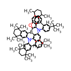 CC(C)(C)c1ccc(N2c3cc(C(C)(C)C)cc4c3B(c3cc5c(cc3N4c3cc4c(cc3-c3ccccc3)C(C)(C)CCC4(C)C)C(C)(C)CCC5(C)C)c3oc4cc5c(cc4c32)C2(C)CCC5(C)CC2)c(-c2cc#ccc2)c1